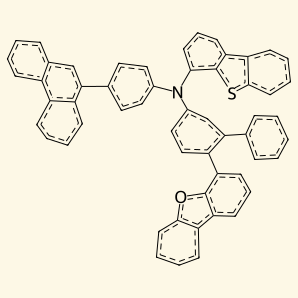 c1ccc(-c2cc(N(c3ccc(-c4cc5ccccc5c5ccccc45)cc3)c3cccc4c3sc3ccccc34)ccc2-c2cccc3c2oc2ccccc23)cc1